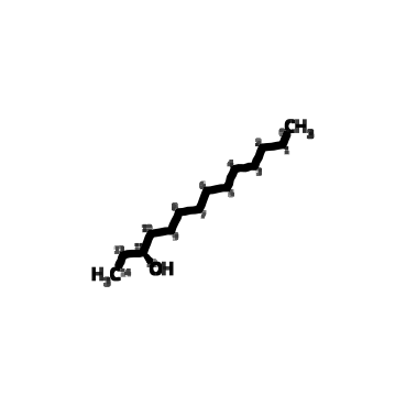 CCCCCCCCCCC[C@@H](O)CC